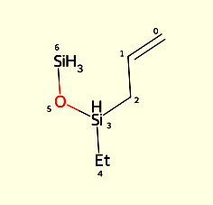 C=CC[SiH](CC)O[SiH3]